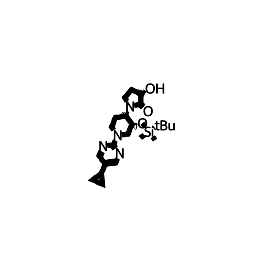 CC(C)(C)[Si](C)(C)O[C@@H]1CN(c2ncc(C3CC3)cn2)CC[C@H]1N1CC[C@@H](O)C1=O